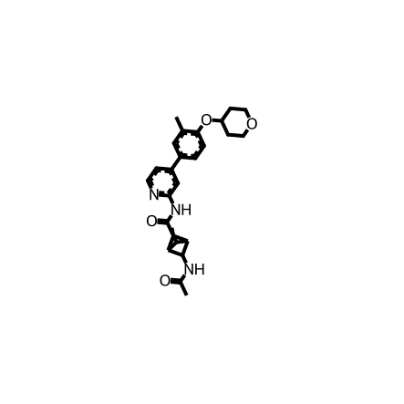 CC(=O)NC1C2C(C)C1C2C(=O)Nc1cc(-c2ccc(OC3CCOCC3)c(C)c2)ccn1